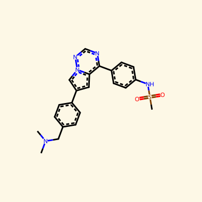 CN(C)Cc1ccc(-c2cc3c(-c4ccc(NS(C)(=O)=O)cc4)ncnn3c2)cc1